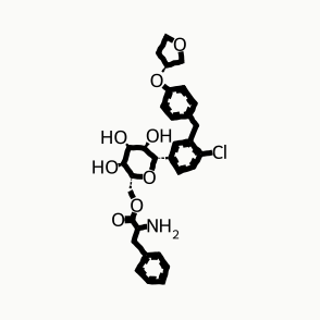 NC(Cc1ccccc1)C(=O)OC[C@H]1O[C@@H](c2ccc(Cl)c(Cc3ccc(O[C@@H]4CCOC4)cc3)c2)[C@H](O)[C@@H](O)[C@@H]1O